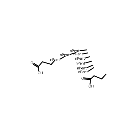 CCCC(=O)O.CCCC(=O)O.CCCCCC.CCCCCC.CCCCCC.CCCCCC.CCCCCC.CCCCCC.CCCCCC.CCCCCC